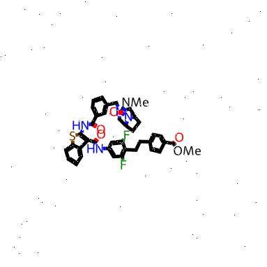 CNC(=O)N1C2CCC1CN(Cc1cccc(C(=O)Nc3sc4ccccc4c3C(=O)Nc3cc(F)c(CCc4ccc(C(=O)OC)cc4)c(F)c3)c1)C2